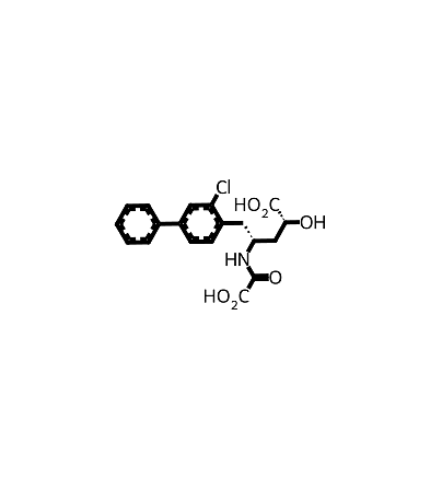 O=C(O)C(=O)N[C@H](Cc1ccc(-c2ccccc2)cc1Cl)C[C@@H](O)C(=O)O